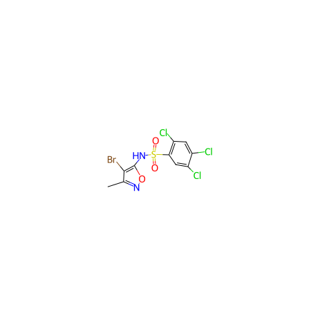 Cc1noc(NS(=O)(=O)c2cc(Cl)c(Cl)cc2Cl)c1Br